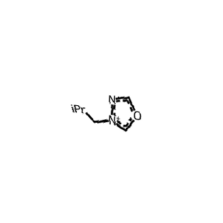 CC(C)C[n+]1cocn1